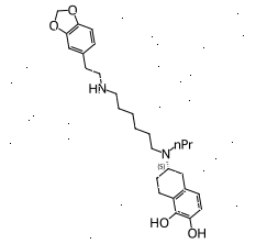 CCCN(CCCCCCNCCc1ccc2c(c1)OCO2)[C@H]1CCc2c(ccc(O)c2O)C1